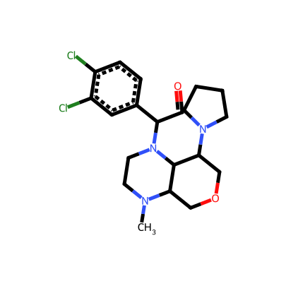 CN1CCN(C(C=O)c2ccc(Cl)c(Cl)c2)C2C1COCC2N1CCCC1